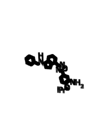 CC(C)Oc1ccc(-c2nc(C3=CCCC4=C3CC[C@@H]4NCc3ccccc3)no2)cc1N